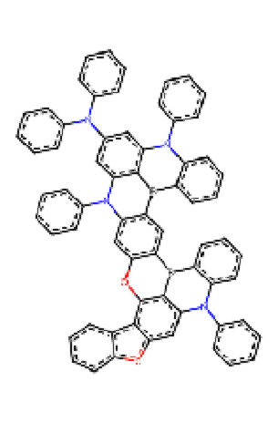 c1ccc(N(c2ccccc2)c2cc3c4c(c2)N(c2ccccc2)c2cc5c(cc2B4c2ccccc2N3c2ccccc2)B2c3ccccc3N(c3ccccc3)c3cc4oc6ccccc6c4c(c32)O5)cc1